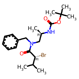 CC(C)[C@@H](Br)C(=O)N(Cc1ccccc1)C[C@@H](C)NC(=O)OC(C)(C)C